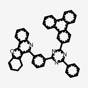 C1=Cc2oc3c(c(-c4cccc(-c5nc(-c6ccccc6)nc(-c6ccc7c8ccccc8c8ccccc8c7c6)n5)c4)nc4ccccc43)c2CC1